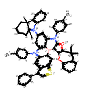 CC(C)(C)c1ccc(N2c3cc4c(-c5ccccc5)csc4cc3B3c4c2cc(N2c5ccccc5C5(C)CCCCC25C)cc4N(c2ccc(C(C)(C)C)cc2)c2oc4c(c23)Oc2ccccc2C4(C)C)cc1